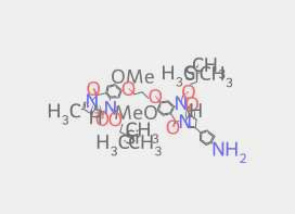 COc1cc2c(cc1OCCCOc1cc3c(cc1OC)C(=O)N1C=C(c4ccc(N)cc4)C[C@H]1C(=O)N3COCC[Si](C)(C)C)N(COCC[Si](C)(C)C)C(=O)[C@@H]1CC(C)=CN1C2=O